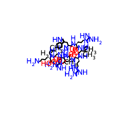 CC[C@H](C)[C@H](NC(=O)[C@H](CCCNC(=N)N)NC(=O)[C@H](CCCNC(=N)N)NC(=O)[C@@H](NC(=O)[C@H](CCCNC(=N)N)NC(=O)[C@@H](N)Cc1c[nH]c2ccccc12)C(C)C)C(=O)N[C@@H](CC(C)C)C(=O)N[C@@H](CCCCN)C(=O)O